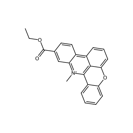 CCOC(=O)c1ccc2c3cccc4c3c([n+](C)c2c1)-c1ccccc1O4